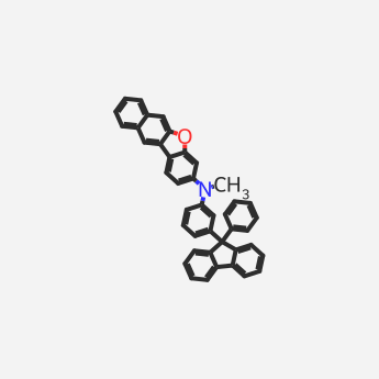 CN(c1cccc(C2(c3ccccc3)c3ccccc3-c3ccccc32)c1)c1ccc2c(c1)oc1cc3ccccc3cc12